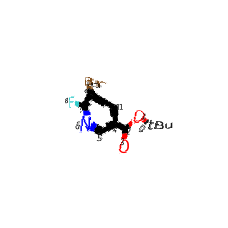 CC(C)(C)OC(=O)c1cnc(F)c(Br)c1